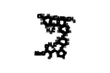 COC(=O)C(F)C[C@@H]1CCCN1C1CCN(c2cnc(C(C)=N)c(N[C@H](C)c3ccc(Cl)cc3Cl)n2)CC1C